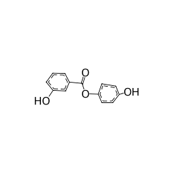 O=C(Oc1ccc(O)cc1)c1cccc(O)c1